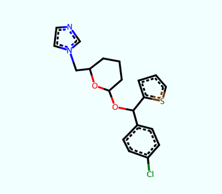 Clc1ccc(C(OC2CCCC(Cn3ccnc3)O2)c2cccs2)cc1